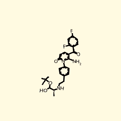 C[C@H](NCCc1ccc(-n2c(N)c(C(=O)c3ccc(F)cc3F)ccc2=O)cc1)C(O)OC(C)(C)C